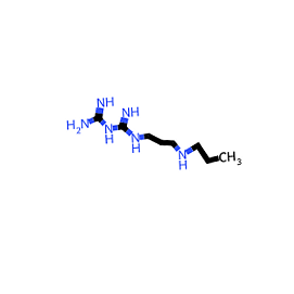 CCCNCCCNC(=N)NC(=N)N